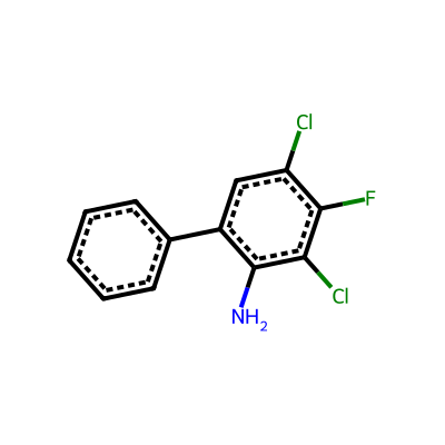 Nc1c(-c2ccccc2)cc(Cl)c(F)c1Cl